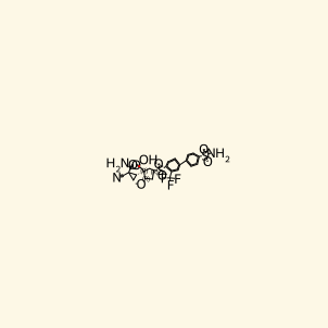 CO[C@@H]1C[C@H](S(=O)(=O)c2ccc(-c3ccc(S(N)(=O)=O)cc3)cc2C(F)(F)F)C[C@@]1(C(=O)O)C1CC1(C#N)C(N)=O